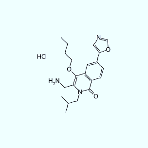 CCCCOc1c(CN)n(CC(C)C)c(=O)c2ccc(-c3cnco3)cc12.Cl